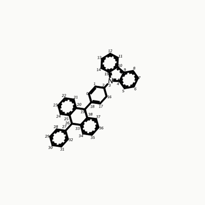 C1=CC(n2c3ccccc3c3ccccc32)CC=C1C1c2ccccc2C(c2ccccc2)c2ccccc21